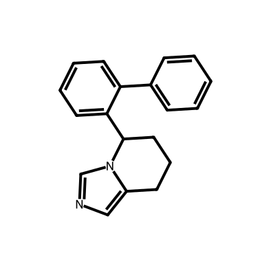 c1ccc(-c2ccccc2C2CCCc3cncn32)cc1